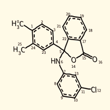 Cc1ccc(C2(Nc3cccc(Cl)c3)OC(=O)c3ccccc32)cc1C